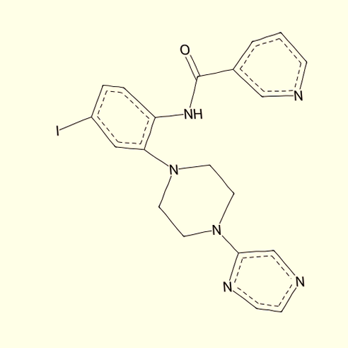 O=C(Nc1ccc(I)cc1N1CCN(c2cnccn2)CC1)c1cccnc1